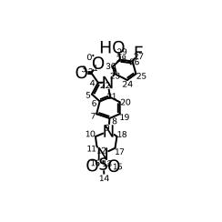 COC(=O)c1cc2cc(N3CCN(S(C)(=O)=O)CC3)ccc2n1-c1ccc(F)c(O)c1